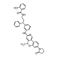 CC1Oc2cc(N3CCCC3=O)ccc2-c2cnc(Nc3cncc(C(CCNC(=O)c4ccccc4O)c4ccccc4)c3)cc21